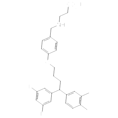 Cc1ccc(C(CCCOc2ccc(CNCCC(=O)O)cc2)c2cc(F)cc(F)c2)cc1C